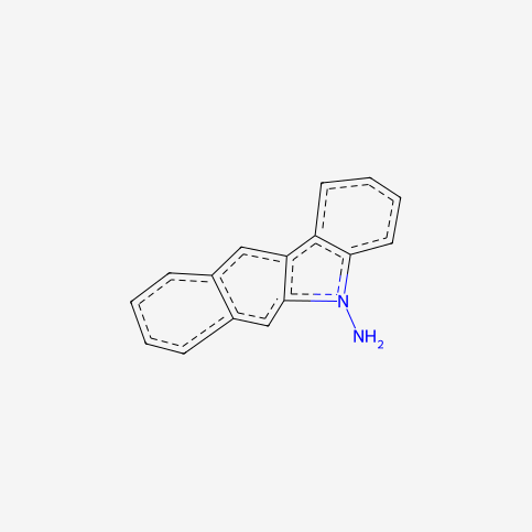 Nn1c2ccccc2c2cc3ccccc3cc21